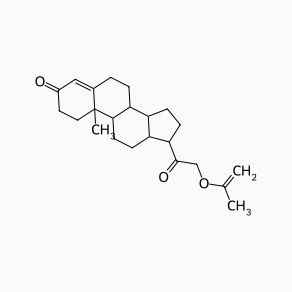 C=C(C)OCC(=O)C1CCC2C1CCC1C2CCC2=CC(=O)CCC21C